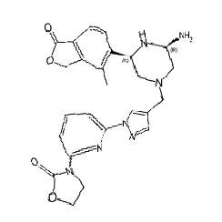 Cc1c([C@@H]2CN(Cc3cnn(-c4cccc(N5CCOC5=O)n4)c3)C[C@H](N)N2)ccc2c1COC2=O